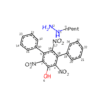 CCCCCNN.O=[N+]([O-])c1c(O)c([N+](=O)[O-])c(-c2ccccc2)c([N+](=O)[O-])c1-c1ccccc1